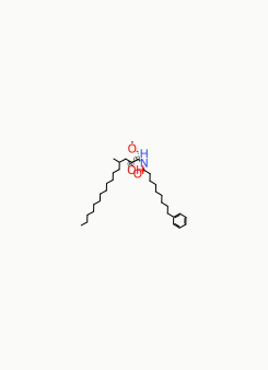 CCCCCCCCCCCCC(C)C[C@@H](O)[C@H](COC)NC(=O)CCCCCCCCc1ccccc1